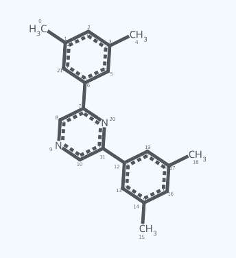 Cc1cc(C)cc(-c2cncc(-c3cc(C)cc(C)c3)n2)c1